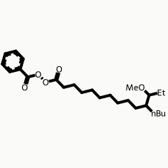 CCCCC(CCCCCCCCCC(=O)OOC(=O)c1ccccc1)C(CC)OC